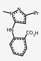 CC(C)c1cc(Nc2ccccc2C(=O)O)n(C)n1